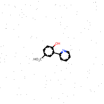 O=C(O)c1ccc(O)c(-c2ccccn2)c1